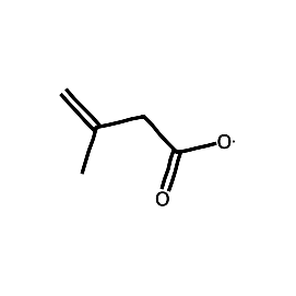 C=C(C)CC([O])=O